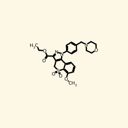 CCOC(=O)c1nn(-c2ccc(CN3CCOCC3)cc2)c2c1CS(=O)(=O)c1c(OC)cccc1-2